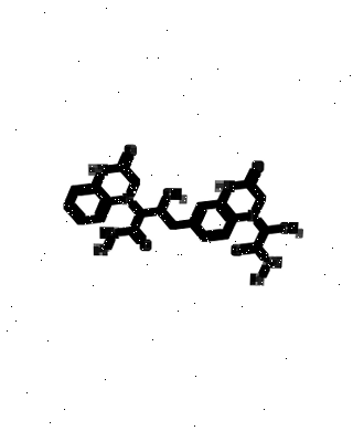 CCNC(=O)C(C)N1CC(=O)Nc2cc(CC(C)C(C(=O)NC(C)C)N3CC(=O)Nc4ccccc43)ccc21